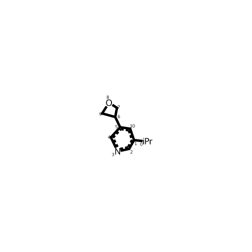 CC(C)c1cncc(C2COC2)c1